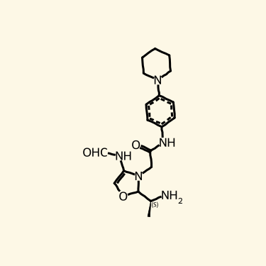 C[C@H](N)C1OC=C(NC=O)N1CC(=O)Nc1ccc(N2CCCCC2)cc1